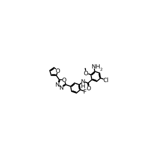 COc1c(N)cc(Cl)cc1C(=O)Nc1cc(-c2nnc(-c3ccco3)o2)ccc1F